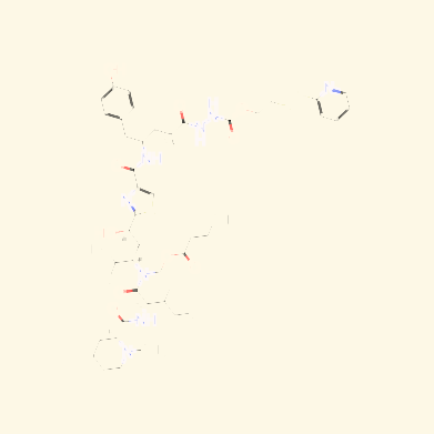 CCCC(=O)OCN(C(=O)[C@@H](NC(=O)[C@H]1CCCCN1C)C(C)CC)[C@H](C[C@@H](O)c1nc(C(=O)NC(Cc2ccc(O)cc2)C[C@H](C)C(=O)NNC(=O)OCCSSc2ccccn2)cs1)C(C)C